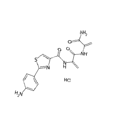 C=C(NC(=O)C(=C)NC(=O)c1csc(-c2ccc(N)cc2)n1)C(N)=O.Cl